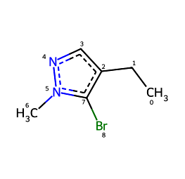 CCc1cnn(C)c1Br